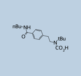 CCCCNC(=O)c1ccc(CCN(C(=O)O)C(C)(C)C)cc1